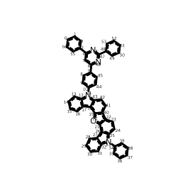 c1ccc(-c2cc(-c3ccc(-n4c5ccccc5c5c6oc7c(ccc8c7c7ccccc7n8-c7ccccc7)c6ccc54)cc3)nc(-c3ccccc3)n2)cc1